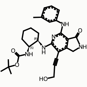 Cc1cccc(Nc2nc(N[C@@H]3CCCC[C@@H]3NC(=O)OC(C)(C)C)c(C#CCO)c3c2C(=O)NC3)c1